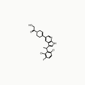 CC(c1c(Cl)ccc(F)c1Cl)c1c[nH]c2ncc(C3=CCN(C(=O)CO)CC3)cc12